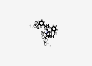 CCOC(=O)C(=N)/C(Br)=C(\Nc1ccccc1Cl)c1nc(-c2cccc(S(C)(=O)=O)c2)no1